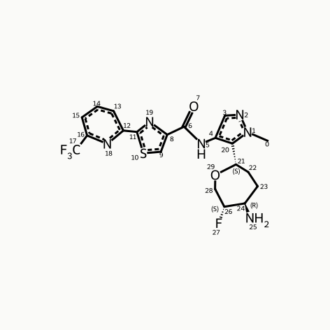 Cn1ncc(NC(=O)c2csc(-c3cccc(C(F)(F)F)n3)n2)c1[C@@H]1CC[C@@H](N)[C@H](F)CO1